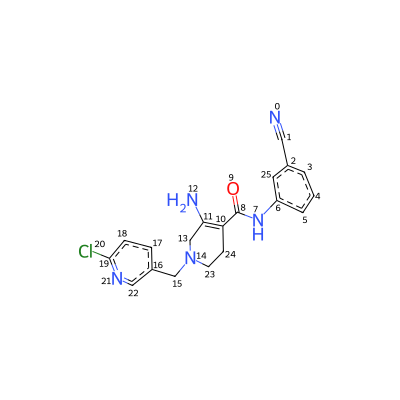 N#Cc1cccc(NC(=O)C2=C(N)CN(Cc3ccc(Cl)nc3)CC2)c1